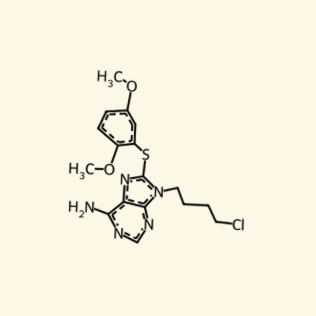 COc1ccc(OC)c(Sc2nc3c(N)ncnc3n2CCCCCl)c1